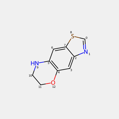 c1nc2cc3c(cc2s1)NCCO3